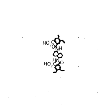 C=Cc1cc(C(=O)O)c(C(=O)NC2CCCC3C(NC(=O)c4cc(C=C)c(C=C)cc4C(=O)O)CCCC23)cc1C=C